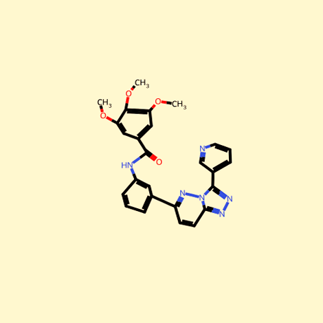 COc1cc(C(=O)Nc2cccc(-c3ccc4nnc(-c5cccnc5)n4n3)c2)cc(OC)c1OC